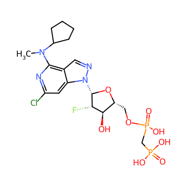 CN(c1nc(Cl)cc2c1cnn2[C@@H]1O[C@H](COP(=O)(O)CP(=O)(O)O)[C@@H](O)[C@@H]1F)C1CCCC1